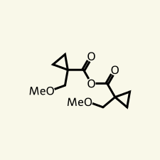 COCC1(C(=O)OC(=O)C2(COC)CC2)CC1